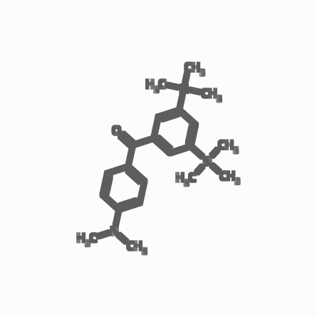 CN(C)c1ccc(C(=O)c2cc([Si](C)(C)C)cc([Si](C)(C)C)c2)cc1